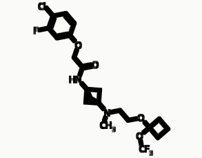 CN(CCOC1(OC(F)(F)F)CCC1)C12CC(NC(=O)COc3ccc(Cl)c(F)c3)(C1)C2